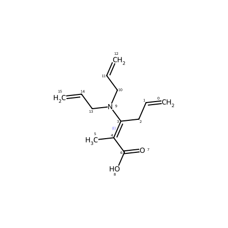 C=CC/C(=C(/C)C(=O)O)N(CC=C)CC=C